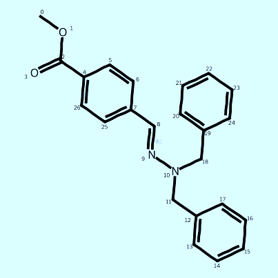 COC(=O)c1ccc(/C=N/N(Cc2ccccc2)Cc2ccccc2)cc1